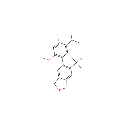 COc1cc(F)c(C(C)C)cc1-c1cc2c(cc1C(C)(C)C)COC2